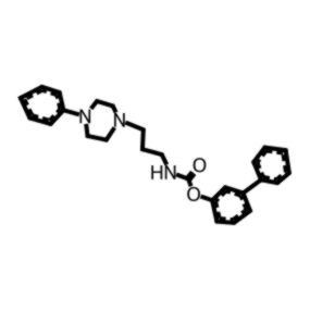 O=C(NCCCN1CCN(c2ccccc2)CC1)Oc1cccc(-c2ccccc2)c1